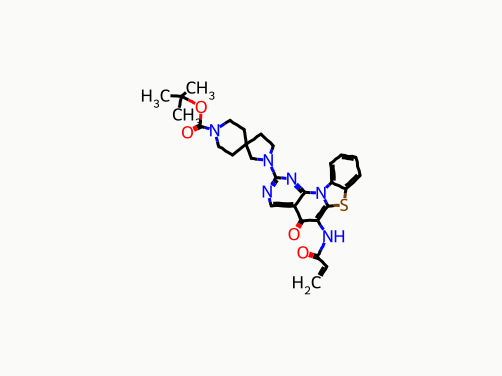 C=CC(=O)Nc1c(=O)c2cnc(N3CCC4(CCN(C(=O)OC(C)(C)C)CC4)C3)nc2n2c1sc1ccccc12